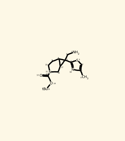 Cc1csc(C2(CN)C3CCN(C(=O)OC(C)(C)C)CC32)n1